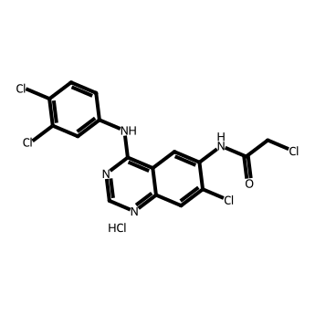 Cl.O=C(CCl)Nc1cc2c(Nc3ccc(Cl)c(Cl)c3)ncnc2cc1Cl